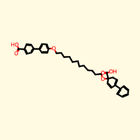 O=C(O)c1ccc(-c2ccc(OCCCCCCCCCCCCOC3(C(=O)O)C=CC(c4ccccc4)=CC3)cc2)cc1